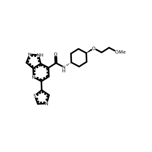 COCCO[C@H]1CC[C@H](NC(=O)c2cc(-c3cncs3)nc3cn[nH]c23)CC1